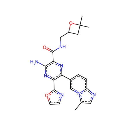 Cc1cnc2ccc(-c3nc(C(=O)NCC4CC(C)(C)O4)c(N)nc3-c3ncco3)cn12